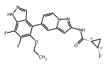 CCOc1c(F)c(F)c2[nH]ncc2c1-c1ccn2nc(NC(=O)[C@@H]3C[C@@H]3F)cc2c1